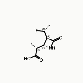 C[C@@H](F)[C@H]1C(=O)N[C@@H]1[C@@H](C)C(=O)O